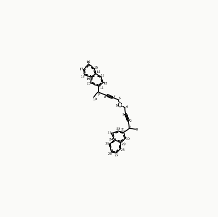 CC(C#CCOCC#CC(C)c1ccc2ccccc2c1)c1ccc2ccccc2c1